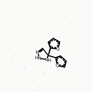 C1=NNNC1(c1ccco1)c1ccco1